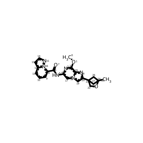 COc1nc(NC(=O)c2cccc3ccnn23)cn2cc(C34COC(C)(C3)C4)nc12